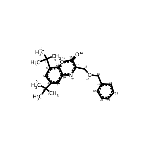 CC(C)(C)c1cc(C(C)(C)C)c2oc(=O)c(COCc3ccccc3)nc2c1